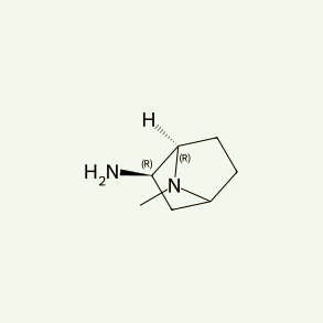 CN1C2CC[C@@H]1[C@H](N)C2